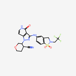 N#CC1CCOCC1n1nc(Nc2ccc3c(c2)CN(CC(F)(F)F)S3(=O)=O)c2c(=O)[nH]ccc21